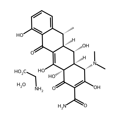 C[C@H]1c2cccc(O)c2C(=O)C2=C(O)[C@]3(O)C(=O)C(C(N)=O)=C(O)[C@@H](N(C)C)[C@@H]3[C@@H](O)[C@@H]21.NCC(=O)O.O